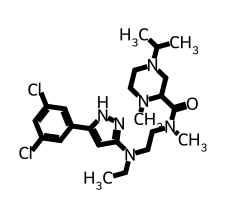 CCN(CCN(C)C(=O)C1CN(C(C)C)CCN1C)c1cc(-c2cc(Cl)cc(Cl)c2)[nH]n1